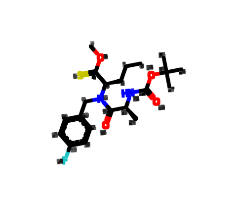 CCC[C@H](C(=S)OC)N(Cc1ccc(F)cc1)C(=O)[C@H](C)NC(=O)OC(C)(C)C